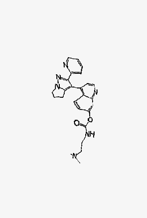 CN(C)CCNC(=O)Oc1ccc2c(-c3c(-c4ccccn4)nn4c3CCC4)ccnc2c1